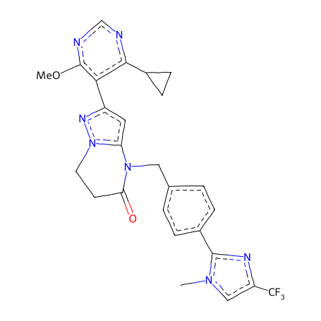 COc1ncnc(C2CC2)c1-c1cc2n(n1)CCC(=O)N2Cc1ccc(-c2nc(C(F)(F)F)cn2C)cc1